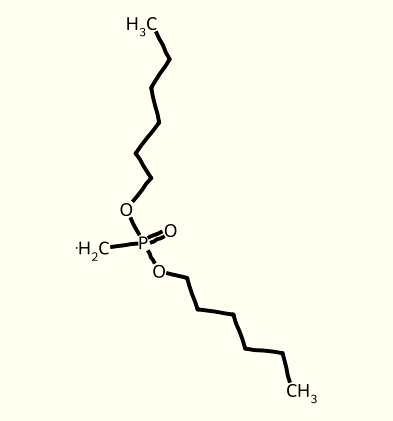 [CH2]P(=O)(OCCCCCC)OCCCCCC